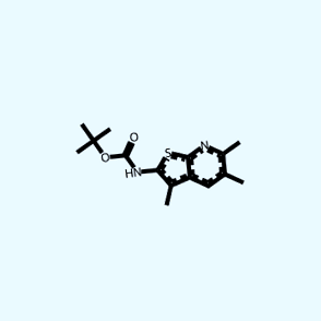 Cc1cc2c(C)c(NC(=O)OC(C)(C)C)sc2nc1C